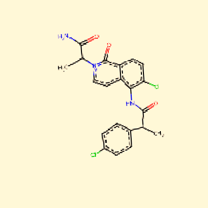 CC(C(=O)Nc1c(Cl)ccc2c(=O)n(C(C)C(N)=O)ccc12)c1ccc(Cl)cc1